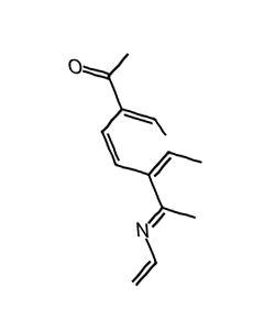 C=C/N=C(C)/C(/C=C\C(=C/C)C(C)=O)=C\C